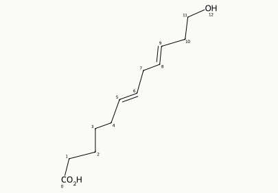 O=C(O)CCCCC=CCC=CCCO